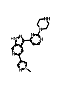 Cn1cc(-c2cc3c(-c4ccnc(N5CCNCC5)n4)n[nH]c3cn2)cn1